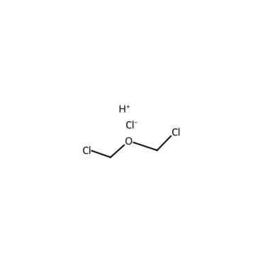 ClCOCCl.[Cl-].[H+]